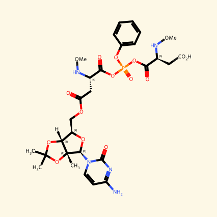 CON[C@@H](CC(=O)O)C(=O)OP(=O)(OC(=O)[C@H](CC(=O)OC[C@H]1O[C@@H](n2ccc(N)nc2=O)[C@]2(C)OC(C)(C)O[C@H]12)NOC)Oc1ccccc1